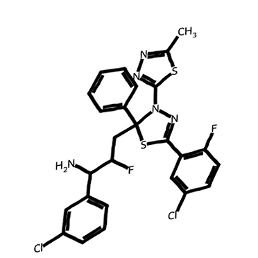 Cc1nnc(N2N=C(c3cc(Cl)ccc3F)SC2(CC(F)C(N)c2cccc(Cl)c2)c2ccccc2)s1